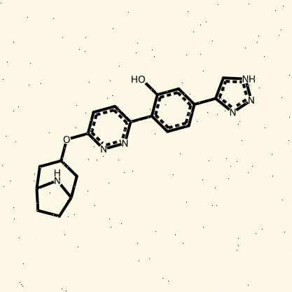 Oc1cc(-c2c[nH]nn2)ccc1-c1ccc(OC2CC3CCC(C2)N3)nn1